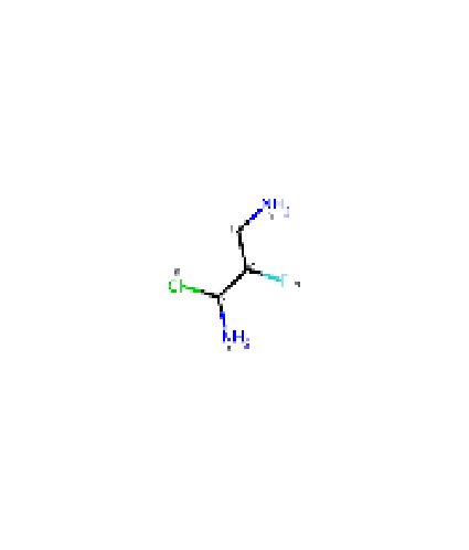 NCC(F)C(N)Cl